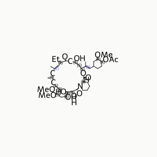 CC[C@@H]1/C=C(\C)C[C@H](C)C[C@H](OC)[C@H]2O[C@](O)([C@H](C)C[C@@H]2OC)[C@@H](O)C(=O)N2CCCC[C@H]2C(=O)O[C@H](/C(C)=C/C2CC[C@@H](OC(C)=O)[C@H](OC)C2)[C@@H](C)[C@@H](O)CC1=O